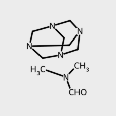 C1N2CN3CN1CN(C2)C3.CN(C)C=O